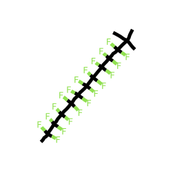 CC(C)(C)C(F)(F)C(F)(F)C(F)(F)C(F)(F)C(F)(F)C(F)(F)C(F)(F)C(F)(F)C(F)(F)C(C)(F)F